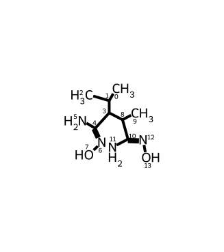 CC(C)C(/C(N)=N/O)C(C)/C(N)=N/O